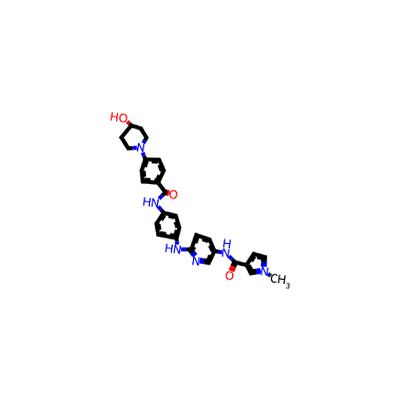 Cn1ccc(C(=O)Nc2ccc(Nc3ccc(NC(=O)c4ccc(N5CCC(O)CC5)cc4)cc3)nc2)c1